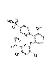 COc1cccc(F)c1-c1ccc(S(=O)(=O)O)cn1.NC(=O)c1ccc(Cl)cc1Cl